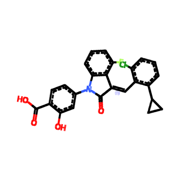 O=C(O)c1ccc(N2C(=O)/C(=C/c3c(Cl)cccc3C3CC3)c3c(F)cccc32)cc1O